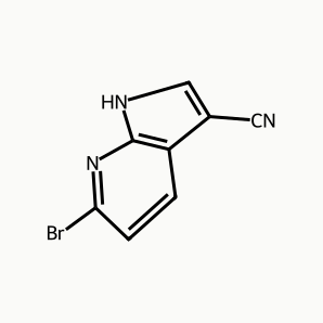 N#Cc1c[nH]c2nc(Br)ccc12